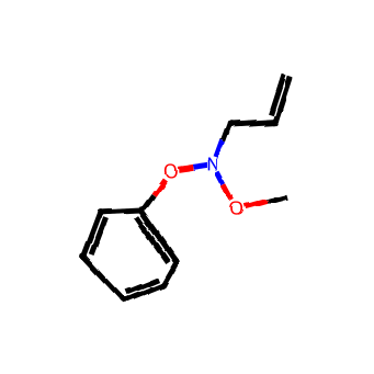 C=CCN(OC)Oc1ccccc1